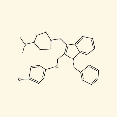 CN(C)C1CCN(Cc2c(COc3ccc(Cl)cc3)n(Cc3ccccc3)c3ccccc23)CC1